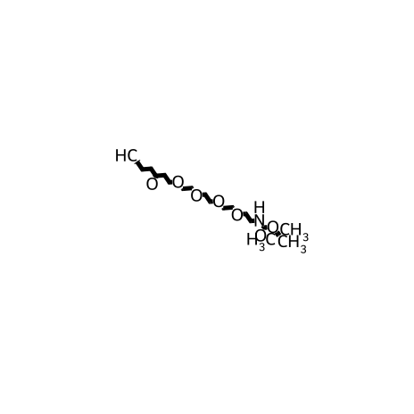 C#CCCC(=O)CCOCCOCCOCCOCCNC(=O)OC(C)(C)C